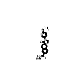 COc1ccc(N2CC[C@]3(CCc4cc(C(=O)NO)ccc4C3)C2=O)cn1